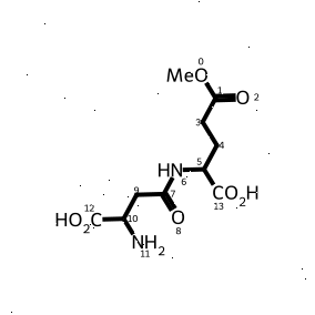 COC(=O)CCC(NC(=O)CC(N)C(=O)O)C(=O)O